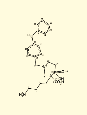 NCCCCC1(C(=O)O)CN(Cc2ccc(Oc3ccccc3)cc2)CCP1(=O)O